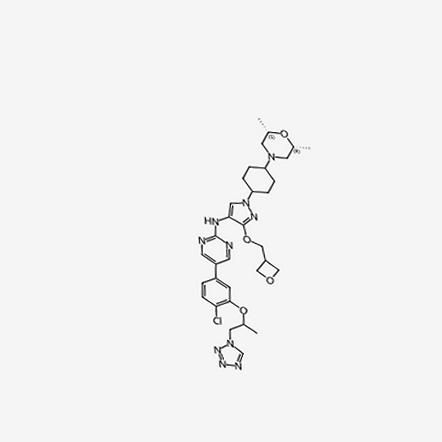 CC(Cn1cnnn1)Oc1cc(-c2cnc(Nc3cn(C4CCC(N5C[C@@H](C)O[C@@H](C)C5)CC4)nc3OCC3COC3)nc2)ccc1Cl